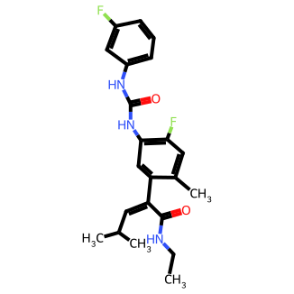 CCNC(=O)/C(=C\C(C)C)c1cc(NC(=O)Nc2cccc(F)c2)c(F)cc1C